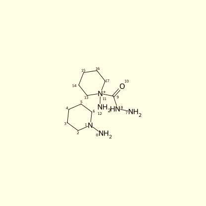 NN1CCCCC1.NNC(=O)[N+]1(N)CCCCC1